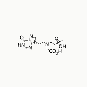 CP(=O)(O)CCN(CCn1cnc2c(=O)[nH]cnc21)CC(=O)O